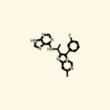 Cc1cc2nc(C(C)Nc3ncnc4[nH]cnc34)c(-c3cccc(F)c3)n2cn1